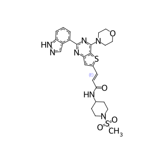 CS(=O)(=O)N1CCC(NC(=O)/C=C/c2cc3nc(-c4cccc5[nH]ncc45)nc(N4CCOCC4)c3s2)CC1